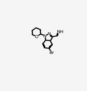 N=CC1=NN(C2CCCCO2)C2C=CC(Br)=CC12